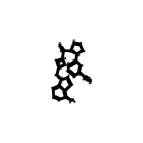 Cc1cccc2c1cnn2CC12CC(C(=O)N3N=CCC3c3cccc(C#N)c3)(C1)C2